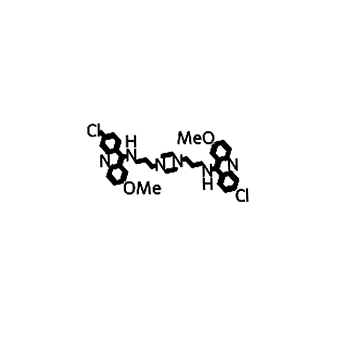 COc1ccc2nc3cc(Cl)ccc3c(NCCCN3CCN(CCCNc4c5ccc(Cl)cc5nc5ccc(OC)cc45)CC3)c2c1